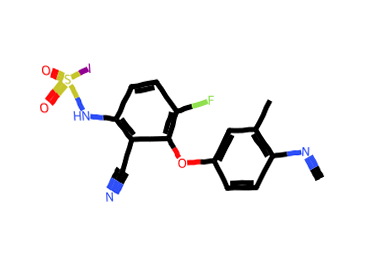 C=Nc1ccc(Oc2c(F)ccc(NS(=O)(=O)I)c2C#N)cc1C